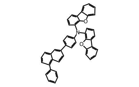 c1ccc(-c2cccc3cc(-c4ccc(N(c5cccc6c5oc5ccccc56)c5cccc6c5oc5ccccc56)cc4)ccc23)cc1